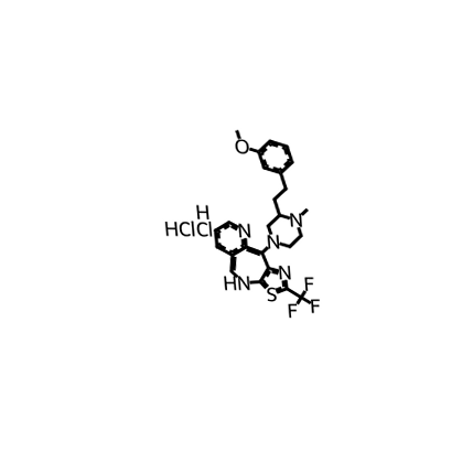 COc1cccc(CCC2CN(C3=c4ncccc4=CNc4sc(C(F)(F)F)nc43)CCN2C)c1.Cl.Cl